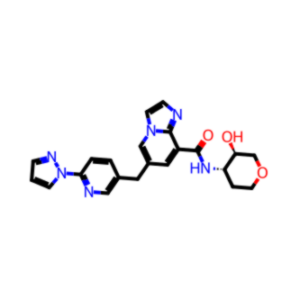 O=C(N[C@H]1CCOC[C@@H]1O)c1cc(Cc2ccc(-n3cccn3)nc2)cn2ccnc12